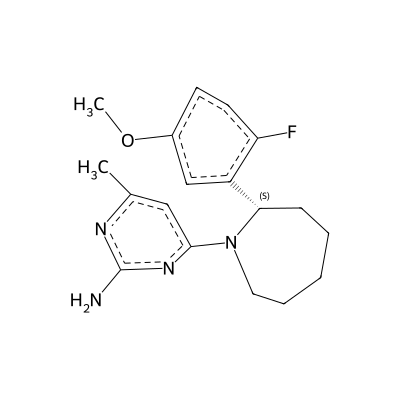 COc1ccc(F)c([C@@H]2CCCCCN2c2cc(C)nc(N)n2)c1